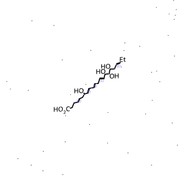 CC/C=C/CC(O)C(O)C(O)/C=C/C/C=C/C=C/C(O)C/C=C/CCC(=O)O